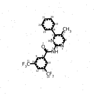 Cc1cnc(NC(=O)c2cc(C(F)(F)F)cc(C(F)(F)F)c2)nc1-c1ccccc1